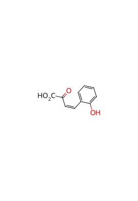 O=C(O)C(=O)/C=C\c1ccccc1O